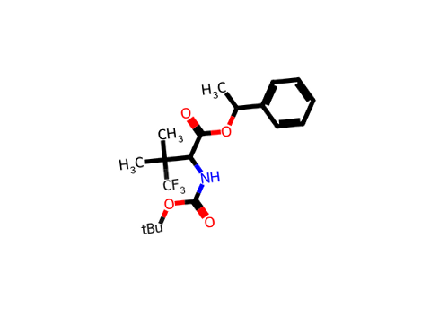 CC(OC(=O)C(NC(=O)OC(C)(C)C)C(C)(C)C(F)(F)F)c1ccccc1